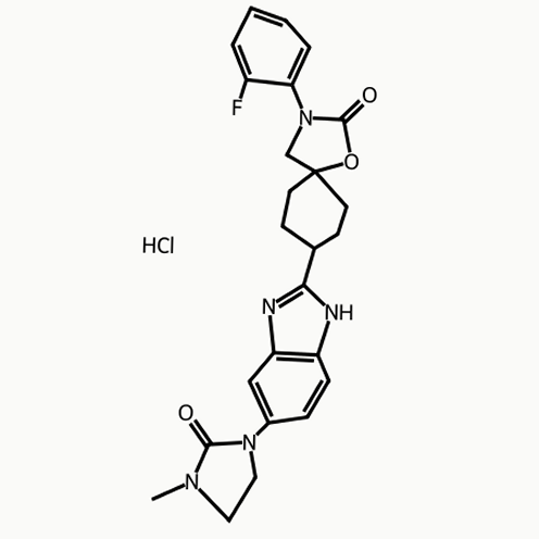 CN1CCN(c2ccc3[nH]c(C4CCC5(CC4)CN(c4ccccc4F)C(=O)O5)nc3c2)C1=O.Cl